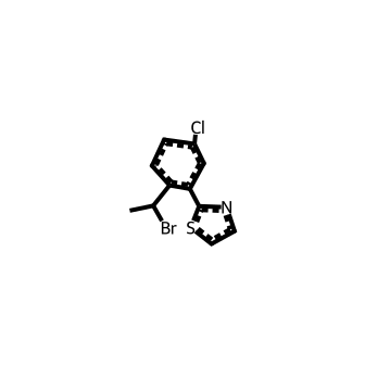 CC(Br)c1ccc(Cl)cc1-c1nccs1